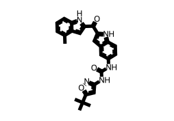 Cc1cccc2[nH]c(C(=O)c3cc4cc(NC(=O)Nc5cc(C(C)(C)C)on5)ccc4[nH]3)cc12